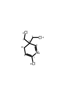 ClCC1(CCl)C=NC(Cl)=CC1